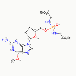 CCOC(=O)CNP(=O)(NCC(=O)OCC)OCC1CCC(n2cnc3c(OCC)nc(N)nc32)O1